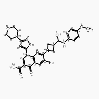 COc1ccc(NC(O)C2CN(c3nc4c(cc3F)c(=O)c(C(=O)O)cn4-c3nc(N4CCOCC4)ns3)C2)nc1